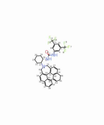 O=C(Nc1cc(C(F)(F)F)cc(C(F)(F)F)c1)N[C@H]1CCCC[C@@H]1N1Cc2ccc3c(c2-c2c(ccc4ccccc24)C1)C=CCC3